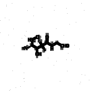 CCC[C@H](NCl)C(O)C(F)(F)C(=O)NCC=O